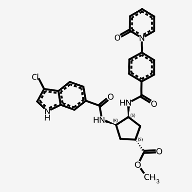 COC(=O)[C@H]1C[C@H](NC(=O)c2ccc(-n3ccccc3=O)cc2)[C@H](NC(=O)c2ccc3c(Cl)c[nH]c3c2)C1